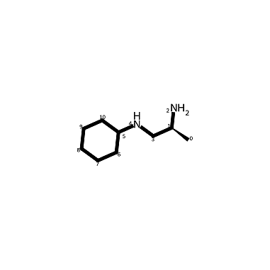 C[C@H](N)CNC1CCCCC1